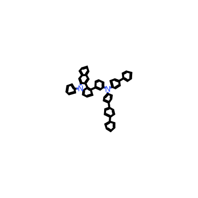 c1ccc(-c2ccc(-c3ccc(N(c4ccc(-c5ccccc5)cc4)c4cccc(-c5cccc6c5c5cc7ccccc7cc5n6-c5ccccc5)c4)cc3)cc2)cc1